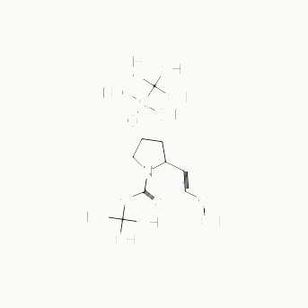 CO/C=C/C1C[C@@H](O[Si](C)(C)C(C)(C)C)CN1C(=O)OC(C)(C)C